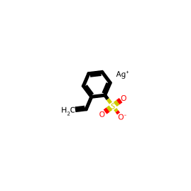 C=Cc1ccccc1S(=O)(=O)[O-].[Ag+]